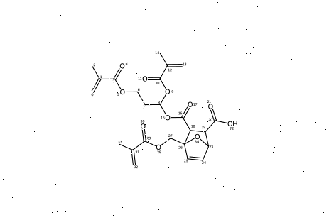 C=C(C)C(=O)OCCC(OC(=O)C(=C)C)OC(=O)C1C(C(=O)O)C2C=CC1(COC(=O)C(=C)C)O2